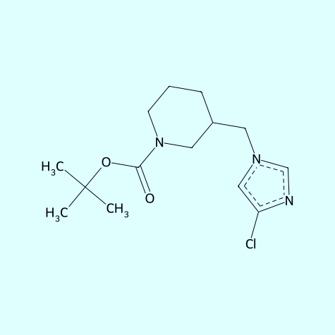 CC(C)(C)OC(=O)N1CCCC(Cn2cnc(Cl)c2)C1